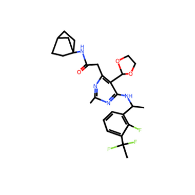 Cc1nc(CC(=O)NC23CCC(CC2)C3)c(C2OCCO2)c(NC(C)c2cccc(C(C)(F)F)c2F)n1